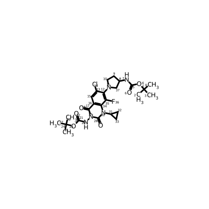 CC(C)(C)OC(=O)NC1CCN(c2c(Cl)cc3c(=O)n(NC(=O)OC(C)(C)C)c(=O)n(C4CC4)c3c2F)C1